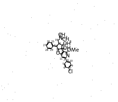 COc1nc(-c2ccc(Cl)cc2)cc2c1C1(O)C(O)C(CN(C)C)C(c3ccccc3)C1O2